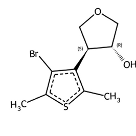 Cc1sc(C)c([C@H]2COC[C@@H]2O)c1Br